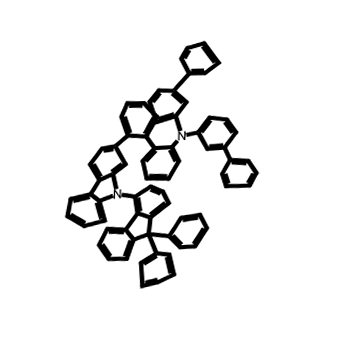 c1ccc(-c2cccc(N(c3cccc(-c4ccccc4)c3)c3ccccc3-c3ccccc3-c3ccc4c5ccccc5n(-c5cccc6c5-c5ccccc5C6(c5ccccc5)c5ccccc5)c4c3)c2)cc1